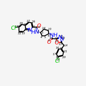 O=C(N[C@H]1CC[C@H](NC(=O)c2nnc(Cc3ccc(Cl)cc3)o2)CC1)c1ccc2cc(Cl)ccc2n1